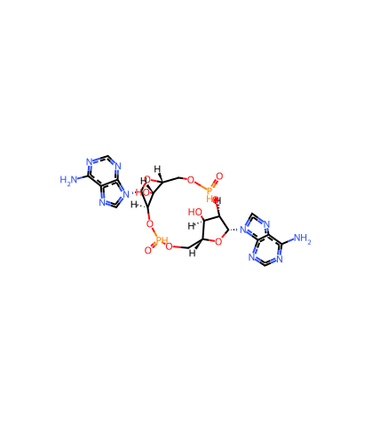 Nc1ncnc2c1ncn2[C@@H]1O[C@@H]2CO[PH](=O)O[C@@H]3[C@H](O)[C@@H](CO[PH](=O)O[C@@H]1[C@@H]2O)O[C@H]3n1cnc2c(N)ncnc21